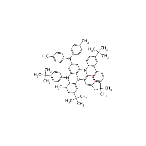 Cc1ccc(N(c2ccc(C)cc2)c2cc3c4c(c2)N(c2ccc(C(C)(C)C)cc2)C2C(=CC(C(C)(C)C)=CC2C)B4c2cc4c(cc2N3c2ccc(C(C)(C)C)cc2-c2ccccc2)CC(C)(C)C4)cc1